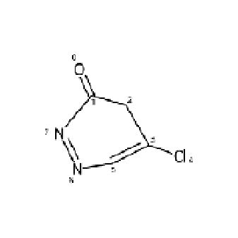 O=C1CC(Cl)=CN=N1